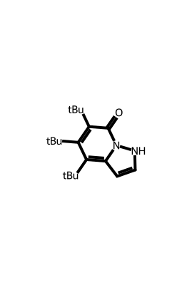 CC(C)(C)c1c(C(C)(C)C)c(=O)n2[nH]ccc2c1C(C)(C)C